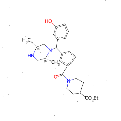 CCOC(=O)C1CCN(C(=O)c2cccc(C(c3cccc(O)c3)N3C[C@@H](C)NC[C@H]3C)c2)CC1